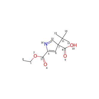 CCOC(=O)C1=CC(C(=O)O)(C(C)(C)C)C=N1